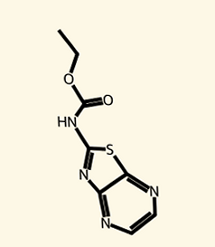 CCOC(=O)Nc1nc2nccnc2s1